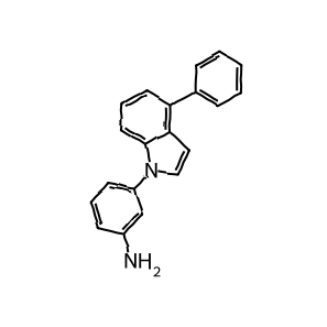 Nc1cccc(-n2ccc3c(-c4ccccc4)cccc32)c1